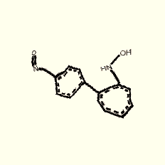 O=Nc1ccc(-c2ccccc2NO)cc1